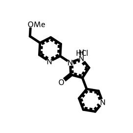 COCc1ccc(-n2[nH]cc(-c3cccnc3)c2=O)nc1.Cl